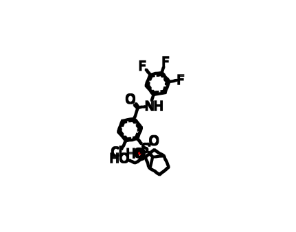 O=C(Nc1cc(F)c(F)c(F)c1)c1ccc(Cl)c(S(=O)(=O)C2C3CCC2C(O)(CO)C3)c1